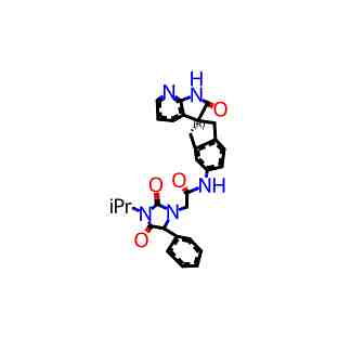 CC(C)N1C(=O)C(c2ccccc2)N(CC(=O)Nc2ccc3c(c2)C[C@@]2(C3)C(=O)Nc3ncccc32)C1=O